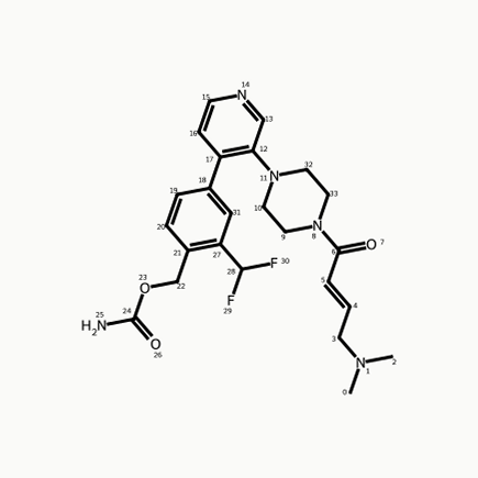 CN(C)CC=CC(=O)N1CCN(c2cnccc2-c2ccc(COC(N)=O)c(C(F)F)c2)CC1